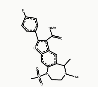 CNC(=O)c1c(-c2ccc(F)cc2)oc2cc3c(cc12)C(C)N(C(C)=O)CCN3S(C)(=O)=O